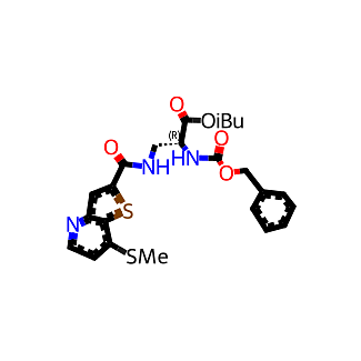 CSc1ccnc2cc(C(=O)NC[C@@H](NC(=O)OCc3ccccc3)C(=O)OCC(C)C)sc12